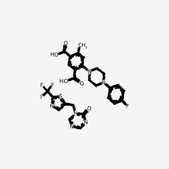 Cc1cc(N2CCN(c3ccc(F)cc3)CC2)c(C(=O)O)cc1C(=O)O.O=c1ncncn1Cc1cnc(C(F)(F)F)s1